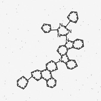 c1ccc(-c2ccc3c4ccc(-n5c6ccccc6c6c7c8ccccc8n(-c8nc(-c9ccccc9)nc(-c9ccccc9)n8)c7ccc65)cc4c4ccccc4c3c2)cc1